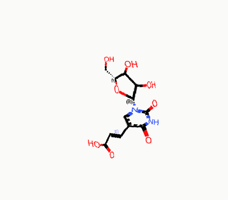 O=C(O)/C=C/c1cn([C@@H]2O[C@H](CO)C(O)C2O)c(=O)[nH]c1=O